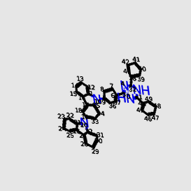 N=C(NC(/N=C/c1ccc(-n2c3ccccc3c3cc(-n4c5ccccc5c5ccccc54)ccc32)cc1)c1ccccc1)c1ccccc1